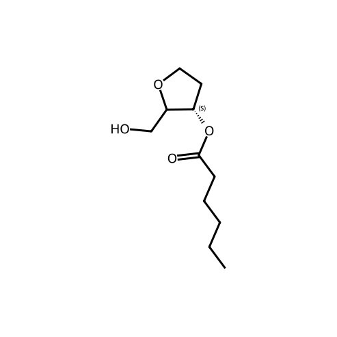 CCCCCC(=O)O[C@H]1CCOC1CO